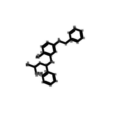 CCC(CC(Oc1cc(OCc2cccnc2)ccc1C(C)=O)c1ccccc1)C(=O)O